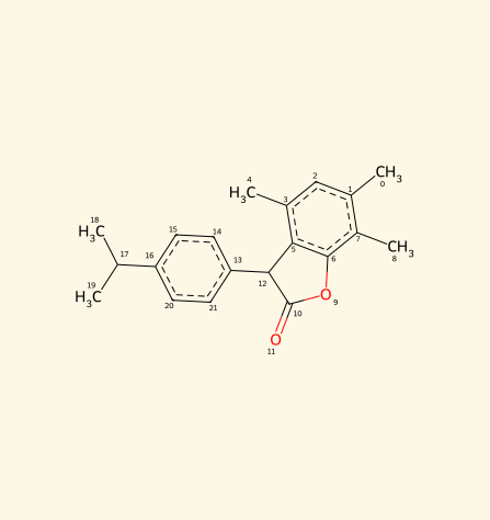 Cc1cc(C)c2c(c1C)OC(=O)C2c1ccc(C(C)C)cc1